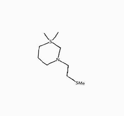 CSCCN1CCCS(C)(C)C1